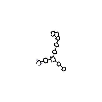 C/C=C\C(=C/C)c1ccc(-c2nc(-c3ccc(-c4ccccc4)cc3)nc(-c3ccc(-c4ccc(-c5ccc6ccc7cccnc7c6n5)cc4)cc3)n2)cc1